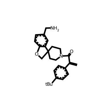 C=C(C(=O)N1CCC2(CC1)COc1ccc(CN)cc12)c1ccc(C(C)(C)C)cc1